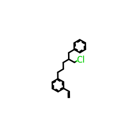 C=Cc1cccc(CCCC(CCl)Cc2ccccc2)c1